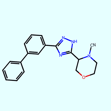 N#CN1CCOCC1c1nc(-c2cccc(-c3ccccc3)c2)n[nH]1